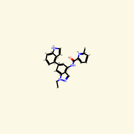 CCn1ncc2c(NC(=O)c3cccc(C)n3)cc(-c3cccc4[nH]ccc34)cc21